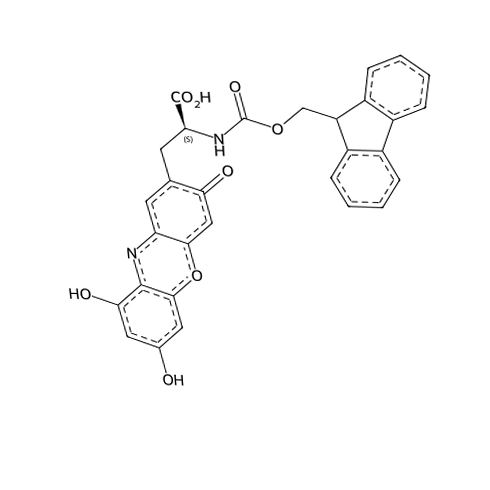 O=C(N[C@@H](Cc1cc2nc3c(O)cc(O)cc3oc-2cc1=O)C(=O)O)OCC1c2ccccc2-c2ccccc21